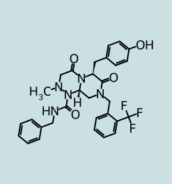 CN1CC(=O)N2[C@@H](Cc3ccc(O)cc3)C(=O)N(Cc3ccccc3C(F)(F)F)C[C@@H]2N1C(=O)NCc1ccccc1